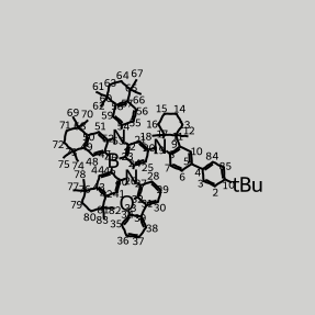 CC(C)(C)c1ccc(-c2ccc3c(c2)C2(C)CCCCC2(C)N3c2cc3c4c(c2)N(c2cccc5c2oc2ccccc25)c2cc5c(cc2B4c2cc4c(cc2N3c2ccc3c(c2)C(C)(C)CCC3(C)C)C(C)(C)CCC4(C)C)C(C)(C)CCC5(C)C)cc1